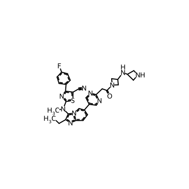 CCc1nc2ccc(-c3cnc(CC(=O)N4CC(NC5CNC5)C4)nc3)cn2c1N(C)c1nc(-c2ccc(F)cc2)c(C#N)s1